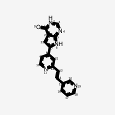 O=c1[nH]cnc2[nH]c(-c3ccnc(C=Cc4cccnc4)c3)cc12